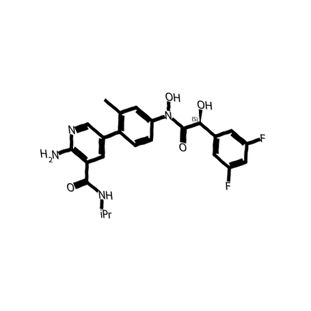 Cc1cc(N(O)C(=O)[C@@H](O)c2cc(F)cc(F)c2)ccc1-c1cnc(N)c(C(=O)NC(C)C)c1